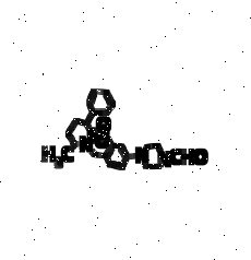 CC1CCC(c2ccccc2)S(=O)(=O)N1Cc1ccc(N2CCN(C=O)CC2)cc1F